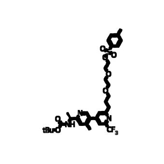 Cc1ccc(S(=O)(=O)OCCOCCOCCCc2cc(-c3cnc([C@H](C)NC(=O)OC(C)(C)C)cc3C)cc(C(F)(F)F)n2)cc1